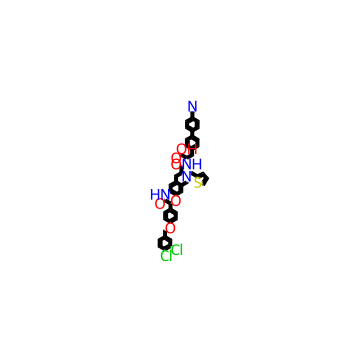 N#Cc1ccc(-c2ccc(CC(NC(=O)C3Cc4cc5c(cc4CN3Cc3cccs3)OC(c3ccc(OCc4ccc(Cl)c(Cl)c4)cc3)C(=O)N5)C(=O)O)cc2)cc1